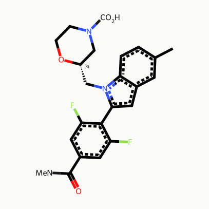 CNC(=O)c1cc(F)c(-c2cc3cc(C)ccc3n2C[C@H]2CN(C(=O)O)CCO2)c(F)c1